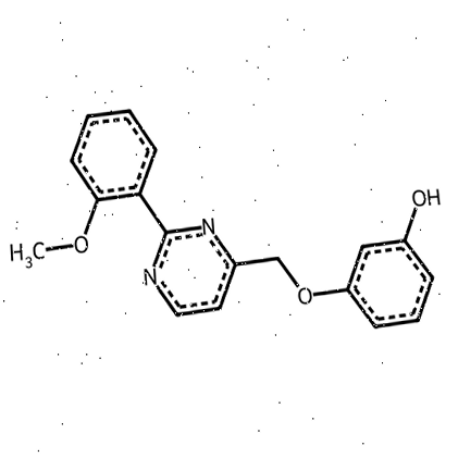 COc1ccccc1-c1nccc(COc2cccc(O)c2)n1